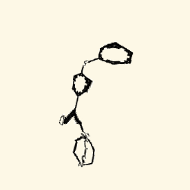 O=C(C[N+]12CCN(CC1)CC2)c1ccc(Sc2ccccc2)cc1